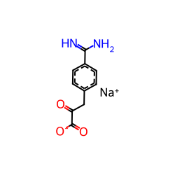 N=C(N)c1ccc(CC(=O)C(=O)[O-])cc1.[Na+]